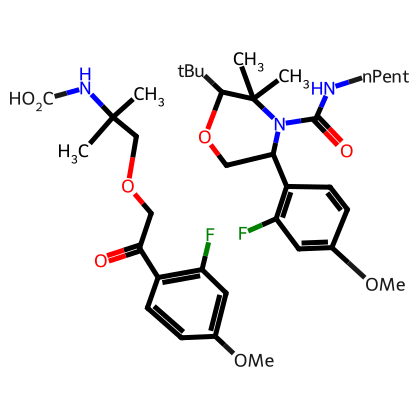 CCCCCNC(=O)N1C(c2ccc(OC)cc2F)COC(C(C)(C)C)C1(C)C.COc1ccc(C(=O)COCC(C)(C)NC(=O)O)c(F)c1